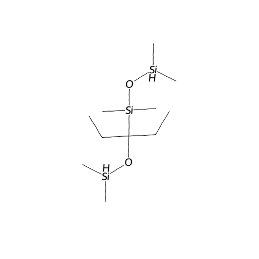 CCC(CC)(O[SiH](C)C)[Si](C)(C)O[SiH](C)C